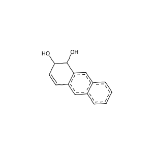 OC1C=Cc2cc3ccccc3cc2C1O